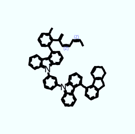 C=C(/C=C\C=C/C)c1c(C)cccc1-c1cccc2c1c1ccccc1n2-c1cccc(-n2c3ccccc3c3c(-c4cccc5c4C4=C(CCC=C4)C5)cccc32)c1